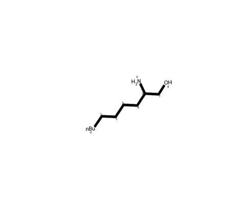 CCCCCCCCC(N)CO